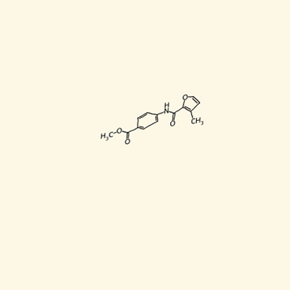 COC(=O)c1ccc(NC(=O)c2occc2C)cc1